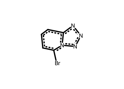 Brc1cccc2nnnn12